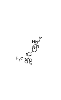 CN(CC(F)(F)F)C(=O)c1cc(-c2ccc3nc(NCC4CC4)cn3c2)cs1